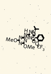 COc1nc(NC(=NN=C(C)C)NS(=O)(=O)c2ccccc2OC(F)(F)F)nc(OC)n1